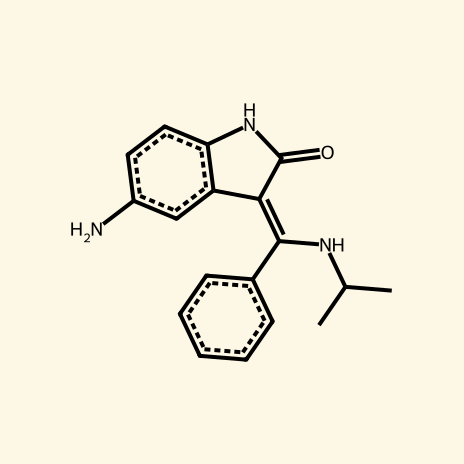 CC(C)N/C(=C1\C(=O)Nc2ccc(N)cc21)c1ccccc1